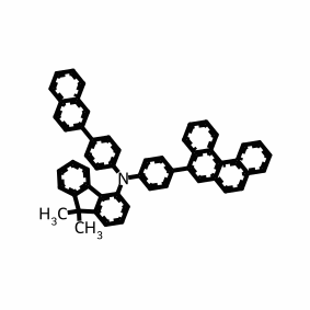 CC1(C)c2ccccc2-c2c(N(c3ccc(-c4ccc5ccccc5c4)cc3)c3ccc(-c4cc5ccc6ccccc6c5c5ccccc45)cc3)cccc21